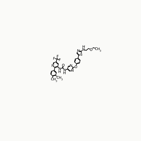 CCOCCNc1ncc(-c2ccc(Oc3ncc(NC(=O)Nc4cc(C(F)(F)F)cnc4-c4ccc(C)c(C)c4)cn3)cc2)s1